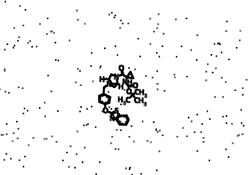 CC(C)(C)OC(=O)NC1(C(=O)N2C[C@@H]3C[C@H]2CN3Cc2ccc(Oc3nc4ccccc4s3)cc2)CC1